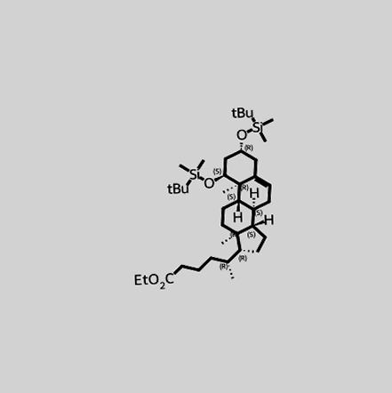 CCOC(=O)CCC[C@@H](C)[C@H]1CC[C@H]2[C@@H]3CC=C4C[C@@H](O[Si](C)(C)C(C)(C)C)C[C@H](O[Si](C)(C)C(C)(C)C)[C@]4(C)[C@H]3CC[C@]12C